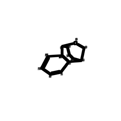 C1=CC2C3CCCC(OC3)C2C=C1